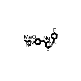 COc1cc(-c2nnc3n([C@@H](C)c4ccc(F)cc4)cc(F)cc2-3)ccc1-n1cnc(C)c1